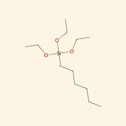 CCCCC[CH][Si](OCC)(OCC)OCC